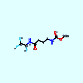 CC(C)(C)OC(=O)NCCCC(=O)NC(F)C(F)F